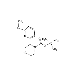 COc1cccc(C2CNCCN2C(=O)OC(C)(C)C)n1